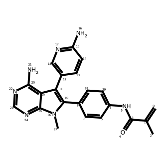 C=C(C)C(=O)Nc1ccc(-c2c(-c3ccc(N)nc3)c3c(N)ncnc3n2C)cc1